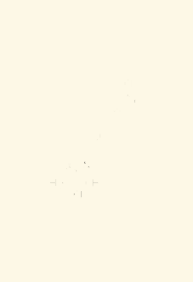 CC(=O)COCCOCCNC(=O)C(C)(C)C